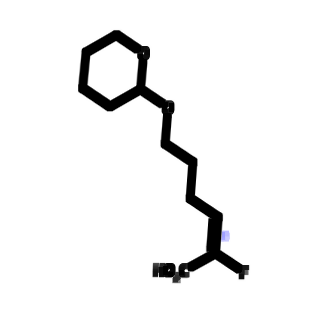 O=C(O)/C(F)=C\CCCOC1CCCCO1